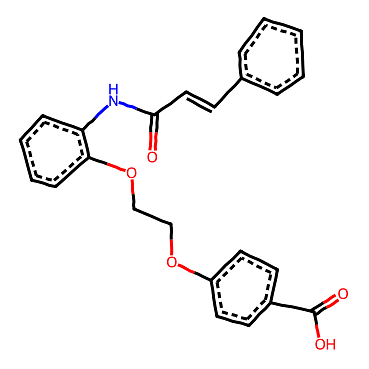 O=C(C=Cc1ccccc1)Nc1ccccc1OCCOc1ccc(C(=O)O)cc1